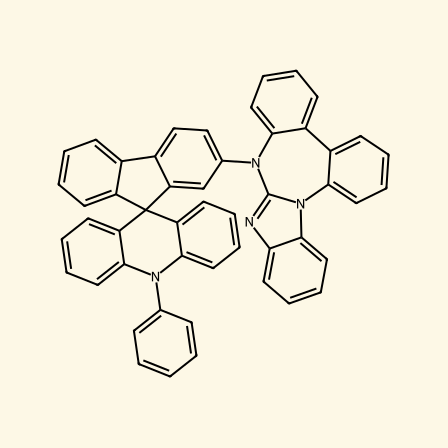 c1ccc(N2c3ccccc3C3(c4ccccc4-c4ccc(N5c6ccccc6-c6ccccc6-n6c5nc5ccccc56)cc43)c3ccccc32)cc1